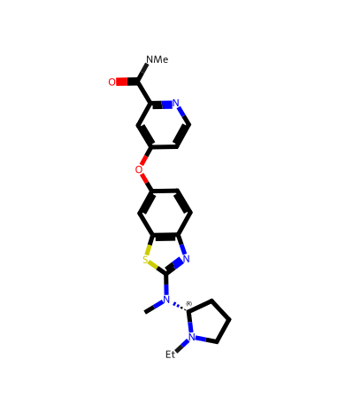 CCN1CCC[C@H]1N(C)c1nc2ccc(Oc3ccnc(C(=O)NC)c3)cc2s1